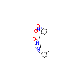 Cc1cccc(CN2CCN(C(=O)C=Cc3ccccc3[N+](=O)[O-])CC2)c1